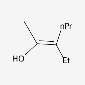 CCC/C(CC)=C(\C)O